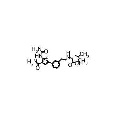 CC(C)C[C@@H](NCCc1cccc(-c2cc(C(N)=O)c(NC(N)=O)s2)c1)C(=O)O